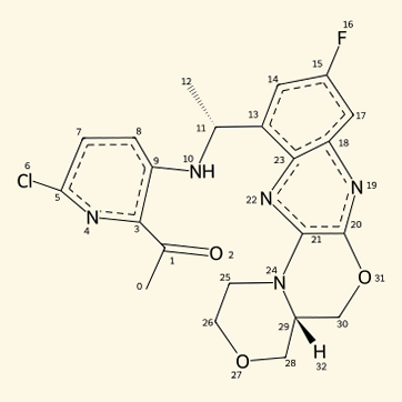 CC(=O)c1nc(Cl)ccc1N[C@H](C)c1cc(F)cc2nc3c(nc12)N1CCOC[C@H]1CO3